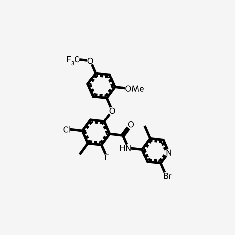 COc1cc(OC(F)(F)F)ccc1Oc1cc(Cl)c(C)c(F)c1C(=O)Nc1cc(Br)ncc1C